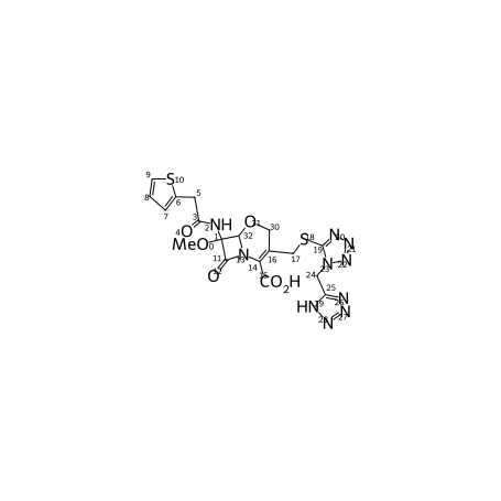 COC1(NC(=O)Cc2cccs2)C(=O)N2C(C(=O)O)=C(CSc3nnnn3Cc3nnn[nH]3)COC21